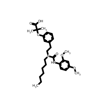 CCCCCCCN(CCc1cccc(OC(C)(C)C(=O)O)c1)C(=O)Nc1ccc(OC)cc1OC